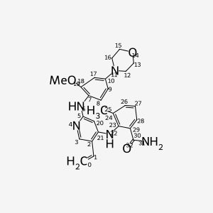 C=Cc1cnc(Nc2ccc(N3CCOCC3)cc2OC)cc1Nc1c(C)cccc1C(N)=O